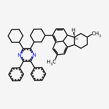 CC1=CC2=C(C3CCCC(c4nc(-c5ccccc5)c(-c5ccccc5)nc4C4CCCCC4)C3)C=CC3C2C(=C1)C1CCC(C)C[C@H]13